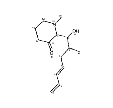 C=C/C=C/CC(C)C(O)C1C(=O)CCCN1C